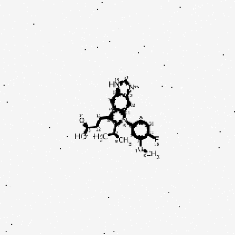 COc1cc(-n2c(C(C)C)c(CCC(=O)O)c3cc4[nH]cnc4cc32)ccc1F